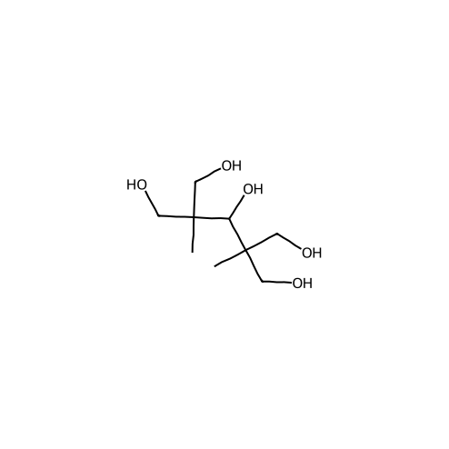 CC(CO)(CO)C(O)C(C)(CO)CO